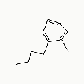 CCCCc1cc[c]cc1C